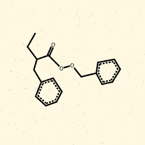 CCC(Cc1ccccc1)C(=O)OOCc1ccccc1